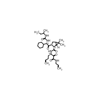 C=CCC[C@@H](NC(=O)[C@@H]1[C@@H]2C(CN1C(=O)[C@@H](NC(=O)NC(C)CC)C1CCCCC1)C2(C)C)C(=O)C(=O)NCC=C